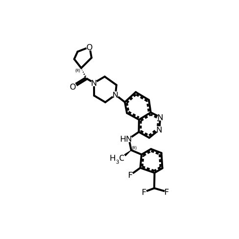 C[C@@H](Nc1cnnc2ccc(N3CCN(C(=O)[C@@H]4CCOC4)CC3)cc12)c1cccc(C(F)F)c1F